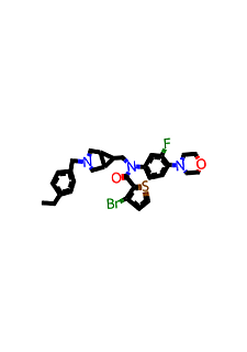 CCc1ccc(CN2CC3C(C2)C3CN(C(=O)c2sccc2Br)c2ccc(N3CCOCC3)c(F)c2)cc1